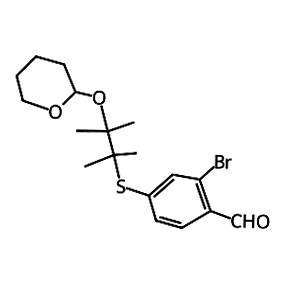 CC(C)(OC1CCCCO1)C(C)(C)Sc1ccc(C=O)c(Br)c1